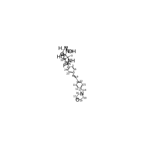 CC(NCc1ccc(C#Cc2ccc(CN3CCOCC3)cc2)cc1)(C(=O)N(N)O)[C@](C)(O)C(F)F